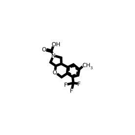 Cc1cc2c(c(C(F)(F)F)c1)COC1CN(C(=O)O)CC21